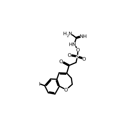 N=C(N)NOS(=O)(=O)CC(=O)C1=Cc2cc(I)ccc2OCC1